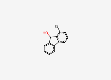 CCc1cccc2c1C(O)c1ccccc1-2